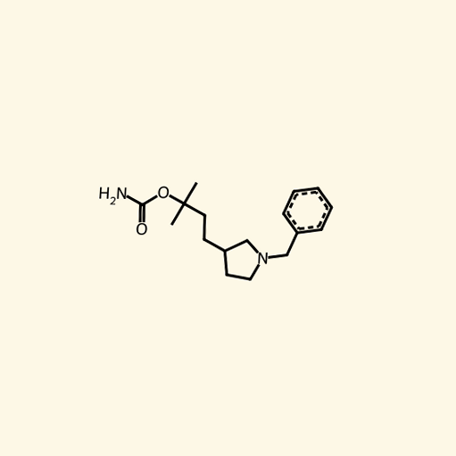 CC(C)(CCC1CCN(Cc2ccccc2)C1)OC(N)=O